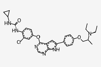 CCN(CC)C(C)COc1ccc(-c2cc3c(Oc4ccc(NC(=O)NC5CC5)c(Cl)c4)ncnc3[nH]2)cc1